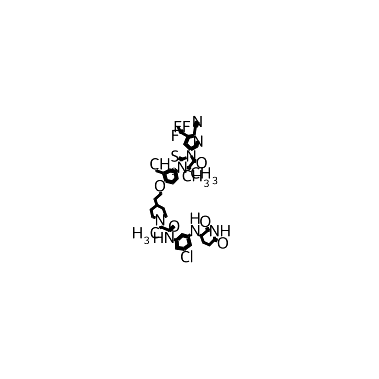 CCc1cc(N2C(=S)N(c3cnc(C#N)c(C(F)(F)F)c3)C(=O)C2(C)C)ccc1OCCC1CCN(C(C)C(=O)Nc2cc(Cl)cc(NC3CCC(=O)NC3=O)c2)CC1